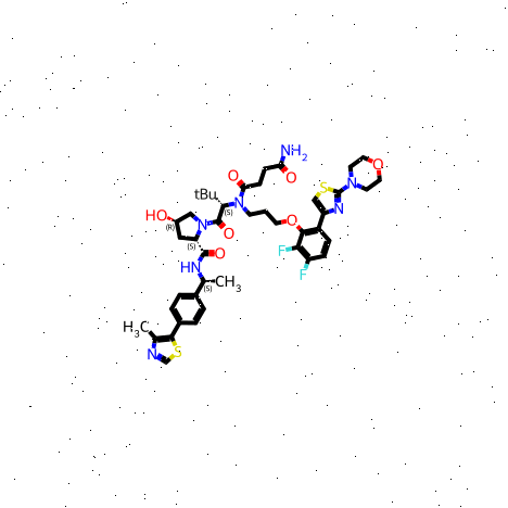 Cc1ncsc1-c1ccc([C@H](C)NC(=O)[C@@H]2C[C@@H](O)CN2C(=O)[C@@H](N(CCCOc2c(-c3csc(N4CCOCC4)n3)ccc(F)c2F)C(=O)CCC(N)=O)C(C)(C)C)cc1